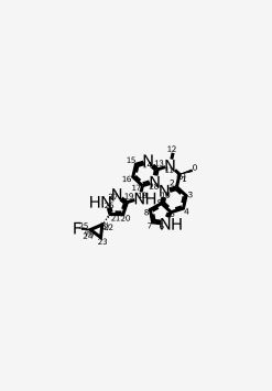 C[C@@H](c1ccc2[nH]ccc2n1)N(C)c1nccc(Nc2cc([C@@H]3C[C@H]3F)[nH]n2)n1